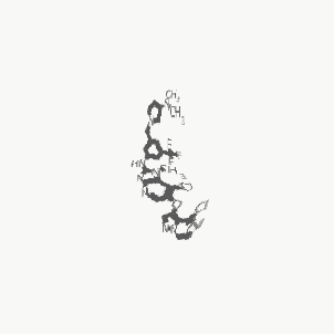 CN(C)[C@H]1CCN(Cc2cc(Nc3nc4ncc(Oc5cnn6ccnc(Cl)c56)c(Cl)c4n3C)cc(C(F)(F)F)c2)C1